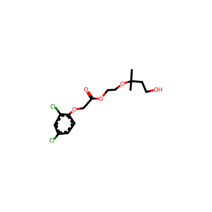 CC(C)(CCO)OCCOC(=O)COc1ccc(Cl)cc1Cl